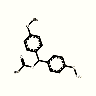 CCC(C)C(=O)OC(c1ccc(OC(C)(C)C)cc1)c1ccc(OC(C)(C)C)cc1